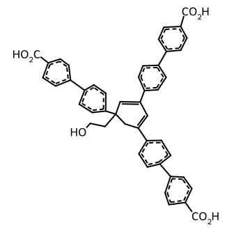 O=C(O)c1ccc(-c2ccc(C3=CC(CCO)(c4ccc(-c5ccc(C(=O)O)cc5)cc4)CC(c4ccc(-c5ccc(C(=O)O)cc5)cc4)=C3)cc2)cc1